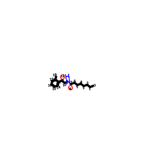 CCCCCCCC(=O)NCC(=O)c1ccccc1C